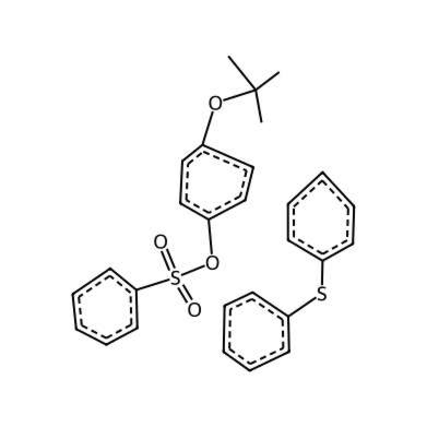 CC(C)(C)Oc1ccc(OS(=O)(=O)c2ccccc2)cc1.c1ccc(Sc2ccccc2)cc1